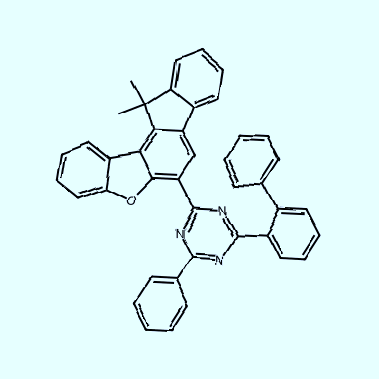 CC1(C)c2ccccc2-c2cc(-c3nc(-c4ccccc4)nc(-c4ccccc4-c4ccccc4)n3)c3oc4ccccc4c3c21